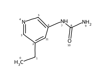 CCc1cncc(NC(N)=O)c1